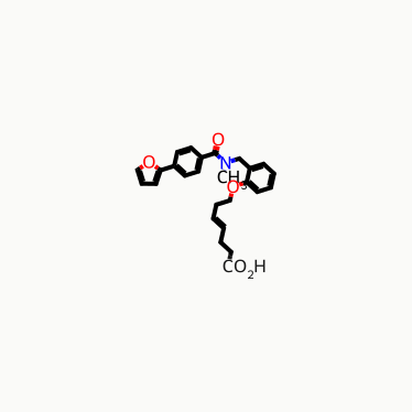 CN(Cc1ccccc1OCC/C=C/CCC(=O)O)C(=O)c1ccc(-c2ccco2)cc1